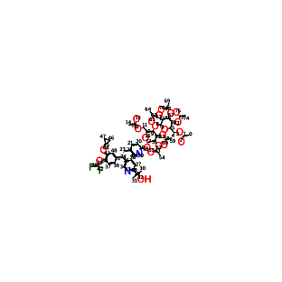 CC(=O)OCC1O[C@@H](O[C@@H]2C(COC(C)=O)O[C@@H](Oc3ccc(C[C@H](c4ccc(C(C)(C)O)nc4)c4ccc(OC(F)F)c(OC5CC5)c4)cn3)[C@H](OC(C)=O)C2OC(C)=O)[C@H](OC(C)=O)C(OC(C)=O)[C@@H]1OC(C)=O